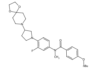 CCCCOc1ccc(C(=O)N(C)c2ccc(N3CCC(N4CCC5(CC4)OCCO5)C3)c(F)c2)cc1